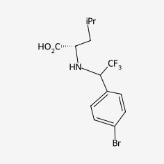 CC(C)C[C@H](NC(c1ccc(Br)cc1)C(F)(F)F)C(=O)O